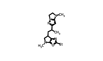 CCc1nc2c(o1)N(C)CC2CC(C)c1cc2n(n1)CCN2C